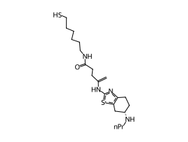 C=C(CCC(=O)NCCCCCCS)Nc1nc2c(s1)C[C@@H](NCCC)CC2